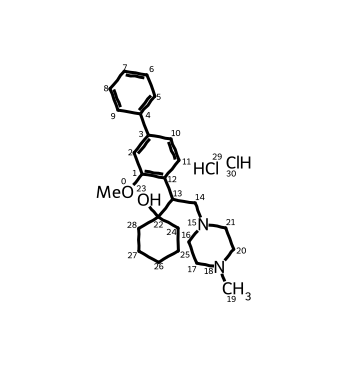 COc1cc(-c2ccccc2)ccc1C(CN1CCN(C)CC1)C1(O)CCCCC1.Cl.Cl